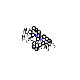 CC(C)(C)c1cc(N2c3cc(-c4ccc5ccc6cccc7ccc4c5c67)cc4c3B(c3ccc5cc6ccccc6cc5c32)c2ccc3cc5ccccc5cc3c2N4c2cc(C(C)(C)C)cc(C(C)(C)C)c2)cc(C(C)(C)C)c1